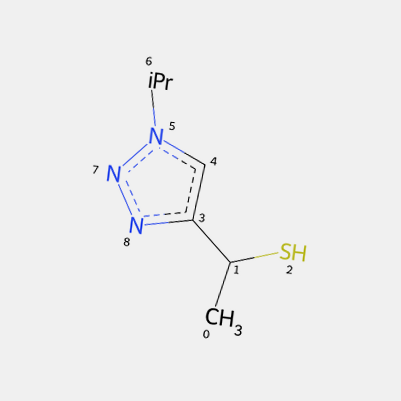 CC(S)c1cn(C(C)C)nn1